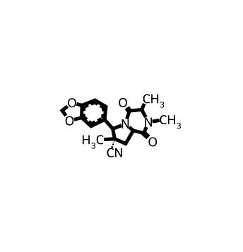 CC1C(=O)N2C(C[C@](C)(C#N)C2c2ccc3c(c2)OCO3)C(=O)N1C